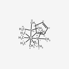 C[Si](C)(C)[La]([CH3])([CH3])([CH3])([CH3])([CH3])([C]1=CC=CC1)[Si](C)(C)C